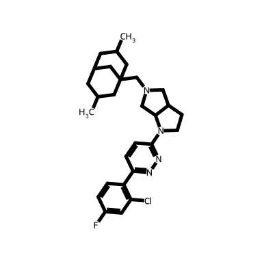 CC1CC2CC(C)CC(CN3CC4CCN(c5ccc(-c6ccc(F)cc6Cl)nn5)C4C3)(C1)C2